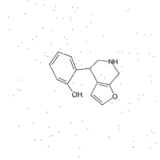 Oc1ccccc1C1CNCc2occc21